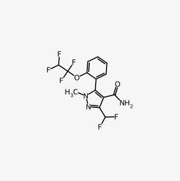 Cn1nc(C(F)F)c(C(N)=O)c1-c1ccccc1OC(F)(F)C(F)F